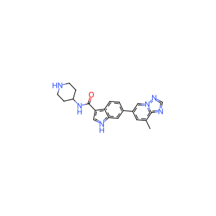 Cc1cc(-c2ccc3c(C(=O)NC4CCNCC4)c[nH]c3c2)cn2ncnc12